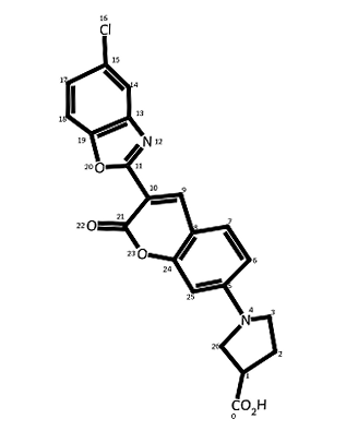 O=C(O)C1CCN(c2ccc3cc(-c4nc5cc(Cl)ccc5o4)c(=O)oc3c2)C1